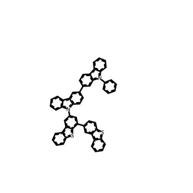 c1ccc(-n2c3ccccc3c3ccc(-c4ccc5c(c4)c4ccccc4n5-c4cc(-c5ccc6sc7ccccc7c6c5)c5sc6ccccc6c5c4)cc32)cc1